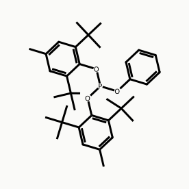 Cc1cc(C(C)(C)C)c(OP(Oc2ccccc2)Oc2c(C(C)(C)C)cc(C)cc2C(C)(C)C)c(C(C)(C)C)c1